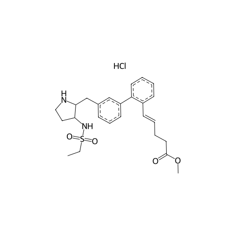 CCS(=O)(=O)NC1CCNC1Cc1cccc(-c2ccccc2C=CCCC(=O)OC)c1.Cl